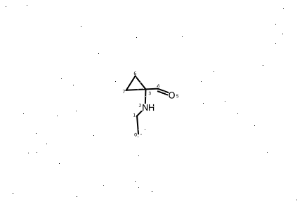 [CH2]CNC1(C=O)CC1